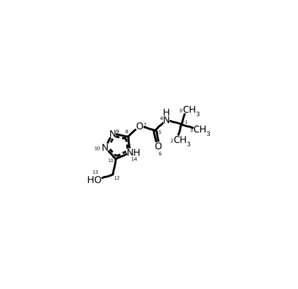 CC(C)(C)NC(=O)Oc1nnc(CO)[nH]1